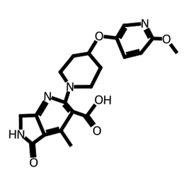 COc1ccc(OC2CCN(c3nc4c(c(C)c3C(=O)O)C(=O)NC4)CC2)cn1